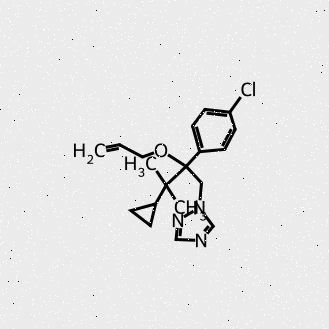 C=CCOC(Cn1cncn1)(c1ccc(Cl)cc1)C(C)(C)C1CC1